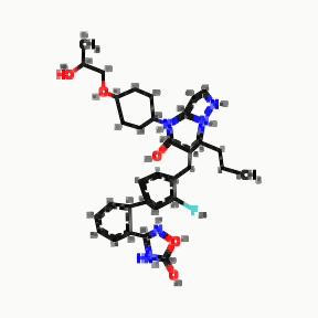 CCCc1c(Cc2ccc(-c3ccccc3-c3noc(=O)[nH]3)cc2F)c(=O)n(C2CCC(OCC(C)O)CC2)c2ccnn12